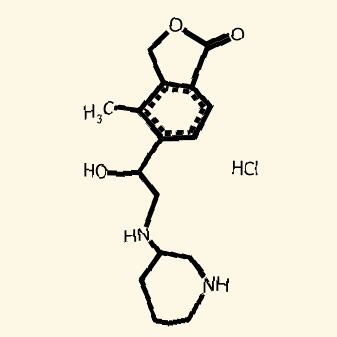 Cc1c(C(O)CNC2CCCNC2)ccc2c1COC2=O.Cl